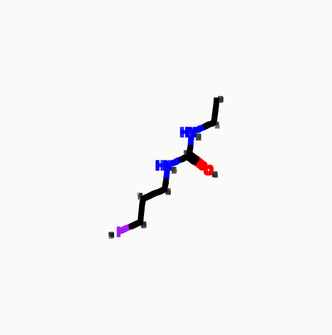 CCNC(=O)NCCCI